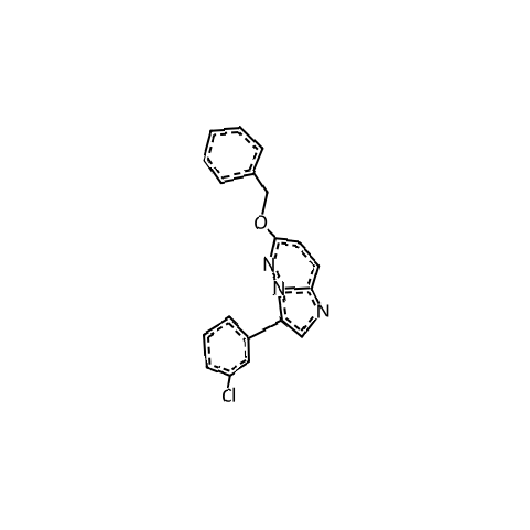 Clc1cccc(-c2cnc3ccc(OCc4ccccc4)nn23)c1